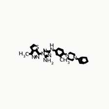 Cc1cc(Nc2nc(N)n(-c3nnc(C)c4ccsc34)n2)ccc1N1CCN(C2CC3CCC2C3)CC1